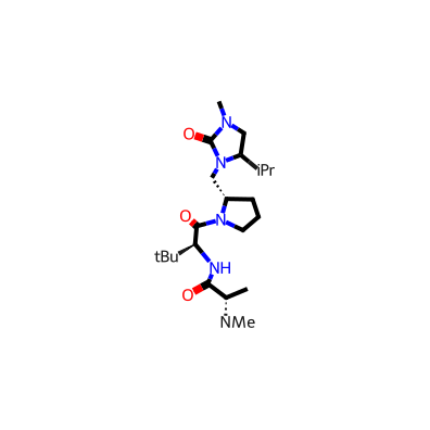 CN[C@@H](C)C(=O)N[C@H](C(=O)N1CCC[C@H]1CN1C(=O)N(C)CC1C(C)C)C(C)(C)C